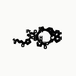 CCn1c(-c2cccnc2[C@H](C)OC)c2c3cc(ccc31)-c1csc(n1)C[C@H](NC(=O)C(C(C)C)N(C)C(=O)[C@H]1CCC(C(=O)/C=C/CN(C)C)C1)C(=O)N1CCC[C@H](N1)C(=O)OCC(C)(C)C2